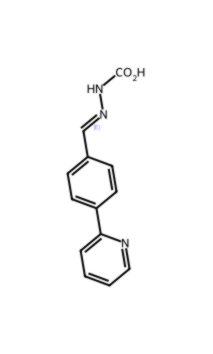 O=C(O)N/N=C/c1ccc(-c2ccccn2)cc1